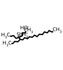 CCCCCCCCCCCCCCC(CCCC)[C]([SbH3+])(CCCC)CCCC.[OH-]